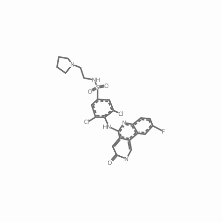 O=C1C=c2c(Nc3c(Cl)cc(S(=O)(=O)NCCN4CCCC4)cc3Cl)nc3ccc(F)cc3c2=C[N]1